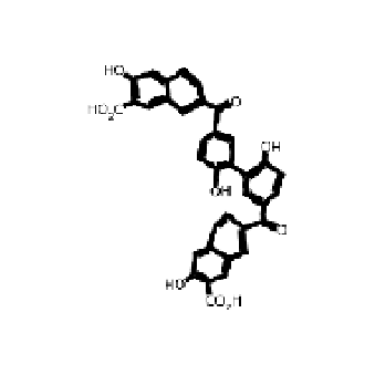 O=C(c1ccc(O)c(-c2cc(C(=O)c3ccc4cc(O)c(C(=O)O)cc4c3)ccc2O)c1)c1ccc2cc(O)c(C(=O)O)cc2c1